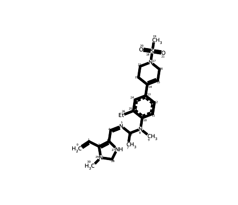 C=CC1=C(/C=N\C(C)N(C)c2ccc(C3=CCN(S(C)(=O)=O)CC3)cc2CC)NCN1C